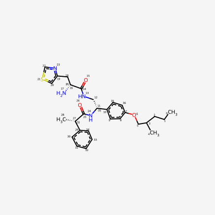 CCCC(C)COc1ccc([C@@H](CNC(=O)[C@H](N)Cc2cscn2)NC(=O)[C@@H](C)c2ccccc2)cc1